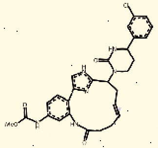 COC(=O)Nc1ccc2c(c1)NC(=O)CC/C=C/CC(N1CCC(c3cccc(Cl)c3)NC1=O)c1nc-2c[nH]1